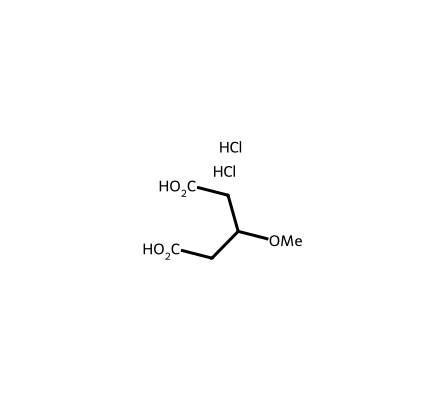 COC(CC(=O)O)CC(=O)O.Cl.Cl